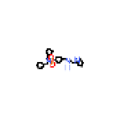 O=S(=O)(c1ccc(CNCCc2ccccn2)cc1)N(Cc1ccccc1)Cc1ccccc1